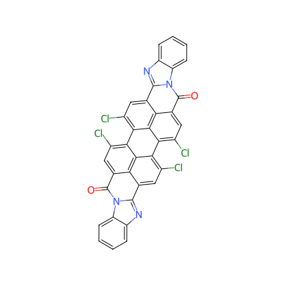 O=c1c2cc(Cl)c3c4c(Cl)cc5c6c(cc(Cl)c(c7c(Cl)cc(c2c37)c2nc3ccccc3n12)c46)c(=O)n1c2ccccc2nc51